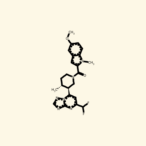 COc1ccc2c(c1)cc(C(=O)N1CC[C@@H](C)[C@H](c3cc(C(F)F)nc4ncnn34)C1)n2C